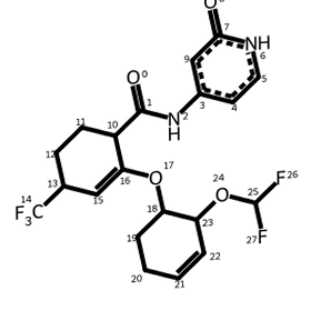 O=C(Nc1cc[nH]c(=O)c1)C1CCC(C(F)(F)F)C=C1OC1CCC=CC1OC(F)F